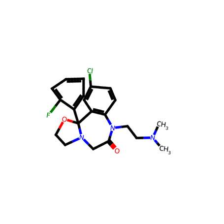 CN(C)CCN1C(=O)CN2CCOC2(c2ccccc2F)c2cc(Cl)ccc21